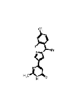 Cc1nc(-c2cnn(C(c3ccc(C(F)(F)F)cc3F)C(C)C)c2)cc(=O)[nH]1